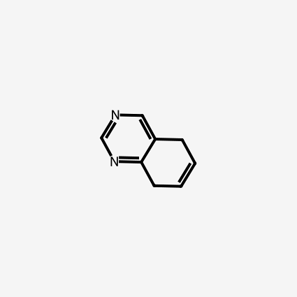 C1=CCc2ncncc2C1